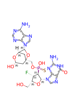 Nc1nc2c(ncn2[C@@H]2O[C@H](CO)[C@H](F)[C@H]2P(O)(=S)OC[C@]23C[C@H](O)O[C@H](C2)[C@H](n2cnc4c(N)ncnc42)O3)c(=O)[nH]1